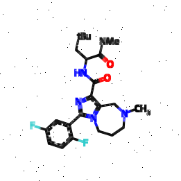 CNC(=O)C(CC(C)(C)C)NC(=O)c1nc(-c2cc(F)ccc2F)n2c1CN(C)CCC2